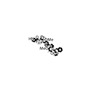 CC[C@H](C)C([C@@H](CC(=O)N1CCC[C@H]1[C@H](OC)[C@@H](C)C(=O)N[C@@H](Cc1ccccc1)c1nccs1)OC)N(C)C(=O)[C@@H](NC(=O)[C@@]1(F)CCNC1)C(C)C